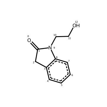 O=C1Cc2ccccc2N1CCO